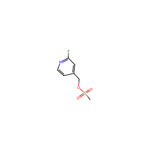 CS(=O)(=O)OCc1ccnc(F)c1